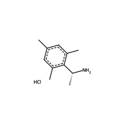 Cc1cc(C)c([C@@H](C)N)c(C)c1.Cl